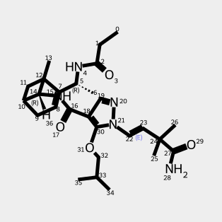 CCC(=O)N[C@H](C)C1=CCC2CC1(C)[C@@H]2NC(=O)c1cnn(/C=C/C(C)(C)C(N)=O)c1OCC(C)C